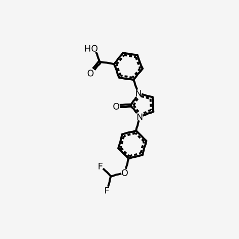 O=C(O)c1cccc(-n2ccn(-c3ccc(OC(F)F)cc3)c2=O)c1